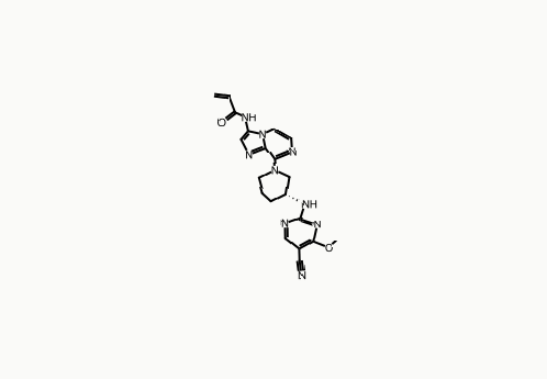 C=CC(=O)Nc1cnc2c(N3CCC[C@@H](Nc4ncc(C#N)c(OC)n4)C3)nccn12